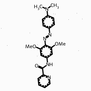 COc1cc(NC(=O)c2ccccn2)cc(OC)c1/N=N/c1ccc(N(C)C)cc1